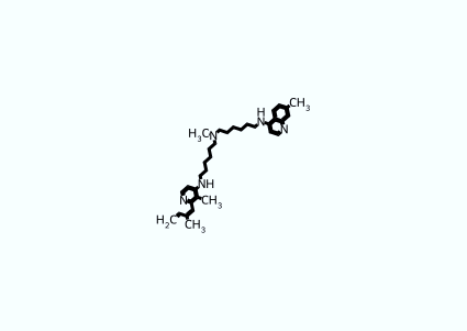 C=C/C(C)=C\c1nccc(NCCCCCCN(C)CCCCCCNc2ccnc3cc(C)ccc23)c1C